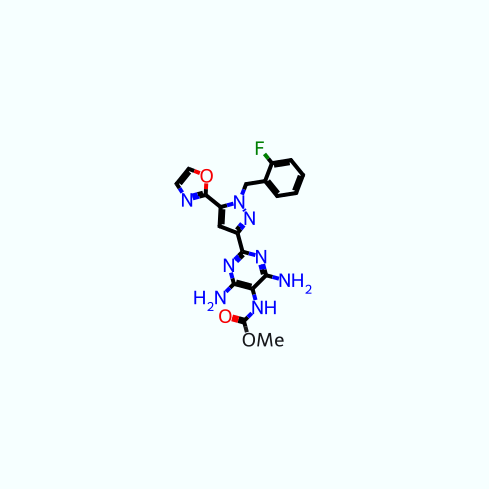 COC(=O)Nc1c(N)nc(-c2cc(-c3ncco3)n(Cc3ccccc3F)n2)nc1N